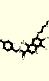 COCCOc1cc2c(O)c(C(=O)NCc3ccc(Cl)cc3)cnc2c(F)c1F